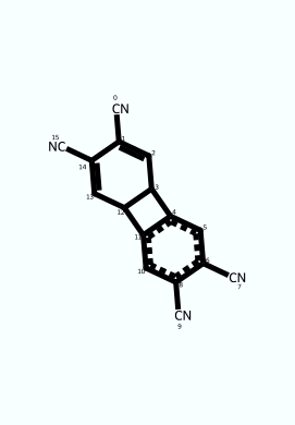 N#CC1=CC2c3cc(C#N)c(C#N)cc3C2C=C1C#N